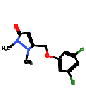 Cn1c(COc2cc(Cl)cc(Cl)c2)cc(=O)n1C